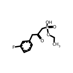 CCOP(=O)(O)CC(=O)Cc1cccc(F)c1